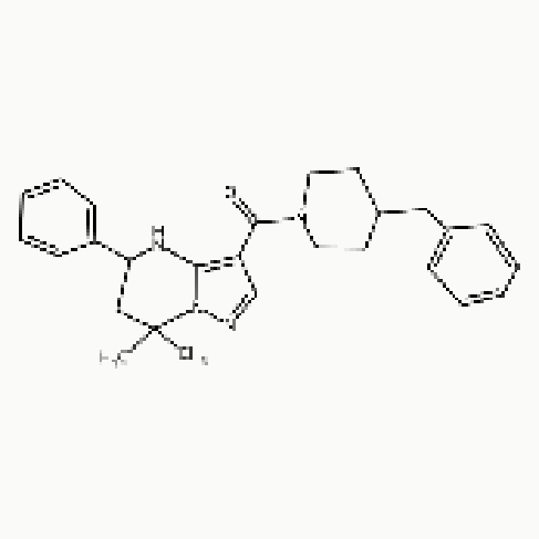 CC1(C)CC(c2ccccc2)Nc2c(C(=O)N3CCC(Cc4ccccc4)CC3)cnn21